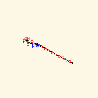 CCCOCCOCCOCCOCCOCCOCCOCCOCCOCCn1cc(CNC(=O)CC2SCC(C(=O)O)NC2=O)nn1